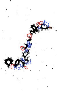 NC(=O)c1c(-c2ccc(Oc3ccccc3)cc2)nn2c1NCC[C@H]2C1CCN(C(=O)c2cn(CCOCCCc3cccc4c3CN(C3CCC(=O)NC3=O)C4=O)nn2)CC1